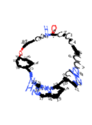 O=C1CCCCCCn2cc(cn2)-c2ccc3cnc(nn23)Nc2ccc(cc2)OCCCN1